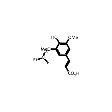 CCN(CC)CC.COc1cc(C=CC(=O)O)cc(OC)c1O